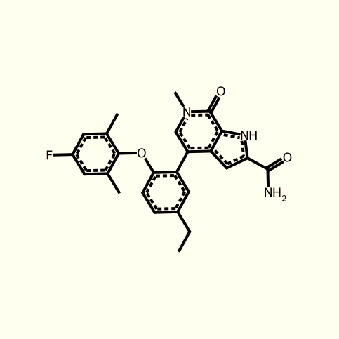 CCc1ccc(Oc2c(C)cc(F)cc2C)c(-c2cn(C)c(=O)c3[nH]c(C(N)=O)cc23)c1